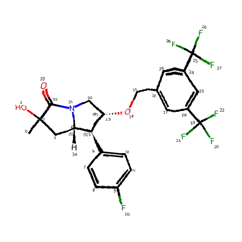 CC1(O)C[C@H]2[C@H](c3ccc(F)cc3)[C@@H](OCc3cc(C(F)(F)F)cc(C(F)(F)F)c3)CN2C1=O